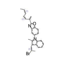 C=C(/C=C\C=C/C)c1nc2cc(-n3c(C)c(/C=C(\C)Br)c4ccccc43)ccc2o1